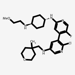 COCCN[C@H]1CC[C@H](Nc2cc(-c3cc(NCC4(C)CCOCC4)cnc3Cl)c(F)cn2)CC1